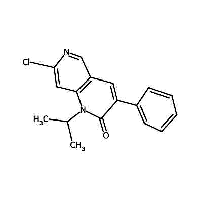 CC(C)n1c(=O)c(-c2ccccc2)cc2cnc(Cl)cc21